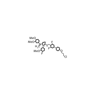 COc1cc(-n2c(N(C)c3ccc(OC)c(OC)c3)cnc2SCc2c(F)cc(-c3ccc(OCCCCl)cc3)cc2F)ccc1F